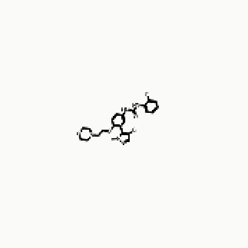 Cn1ncc(Cl)c1-c1cc(NC(=O)Nc2ccccc2F)ccc1OCCN1CCOCC1